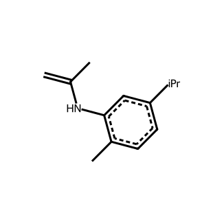 C=C(C)Nc1cc(C(C)C)ccc1C